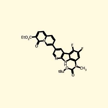 CCOC(=O)c1ccc2ccc(-c3cnc4[nH]c5c(N(C)C(=O)OC(C)(C)C)cc(F)c(F)c5c4c3)cn2c1=O